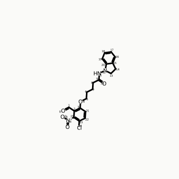 O=Cc1c(OCCCCC(=O)NN2CCc3ccccc32)ccc(Cl)c1[N+](=O)[O-]